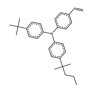 C=Cc1ccc(N(c2ccc(C(C)(C)C)cc2)c2ccc(C(C)(C)CCC)cc2)cc1